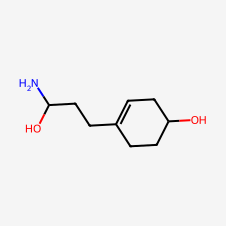 NC(O)CCC1=CCC(O)CC1